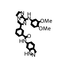 COc1ccc(Nc2nc(-c3cccc(C(=O)Nc4ccc5cn[nH]c5c4)c3)cn3ccnc23)cc1OC